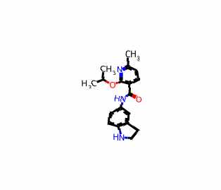 Cc1ccc(C(=O)Nc2ccc3c(c2)CCN3)c(OC(C)C)n1